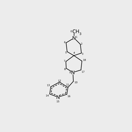 CN1CCC2(CC1)CCN(Cc1cccnc1)CC2